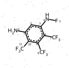 Nc1cc(NF)c(C(F)(F)F)c(C(F)(F)F)c1C(F)(F)F